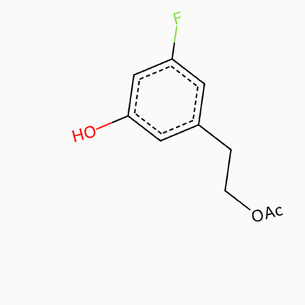 CC(=O)OCCc1cc(O)cc(F)c1